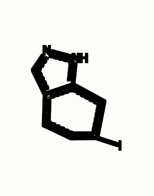 Ic1ccc2cn[nH]c2c1